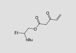 C=CC(=O)CC(=O)OCC(CC)CCCC